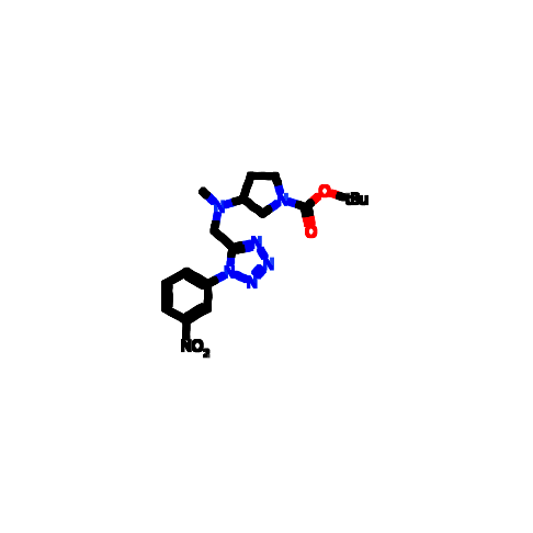 CN(Cc1nnnn1-c1cccc([N+](=O)[O-])c1)C1CCN(C(=O)OC(C)(C)C)C1